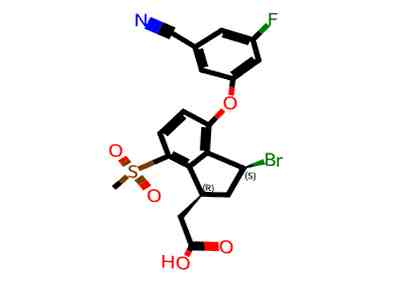 CS(=O)(=O)c1ccc(Oc2cc(F)cc(C#N)c2)c2c1[C@H](CC(=O)O)C[C@@H]2Br